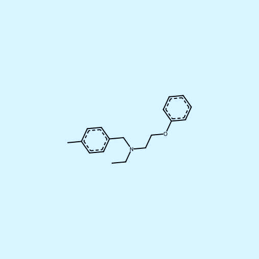 CCN(CCOc1ccccc1)Cc1ccc(C)cc1